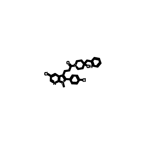 Cn1c(-c2ccc(Cl)cc2)c(CCC(=O)N2CCC(O)(Cc3ccccc3)CC2)c2cc(Cl)cnc21